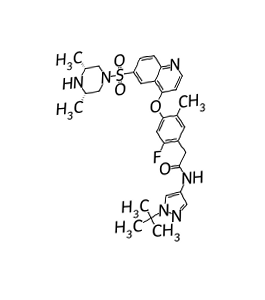 Cc1cc(CC(=O)Nc2cnn(C(C)(C)C)c2)c(F)cc1Oc1ccnc2ccc(S(=O)(=O)N3C[C@@H](C)N[C@@H](C)C3)cc12